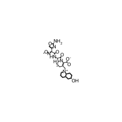 CON=C(C(=O)NC1C(=O)N2C(C(=O)[O-])=C(C[n+]3cccc4cc(O)ccc43)CS[C@@H]12)c1coc(N)n1